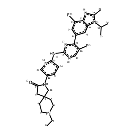 CCN1CCC2(CC1)CC(=O)N(c1ccc(Nc3ncc(F)c(-c4cc(F)c5nc(C)n(C(C)C)c5c4)n3)nc1)C2